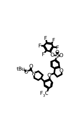 CC(C)(C)OC(=O)N1CCC(c2cc(C(F)(F)F)ccc2OC2CCOc3cc(S(=O)(=O)Oc4c(F)c(F)c(F)c(F)c4F)ccc32)CC1